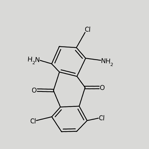 Nc1cc(Cl)c(N)c2c1C(=O)c1c(Cl)ccc(Cl)c1C2=O